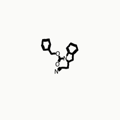 N#CCC1Cc2ccccc2N1C(=O)OCc1ccccc1